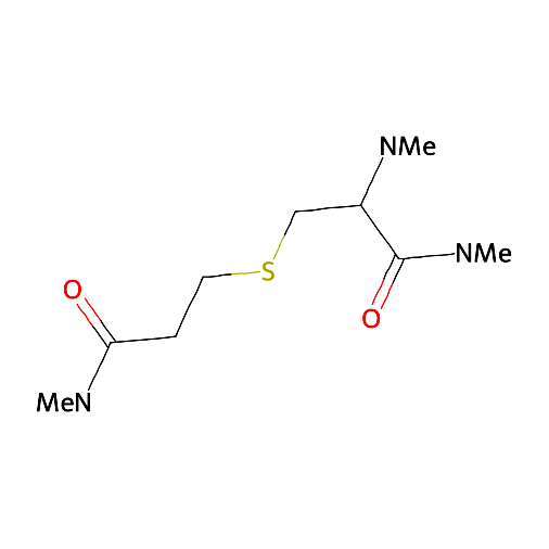 CNC(=O)CCSCC(NC)C(=O)NC